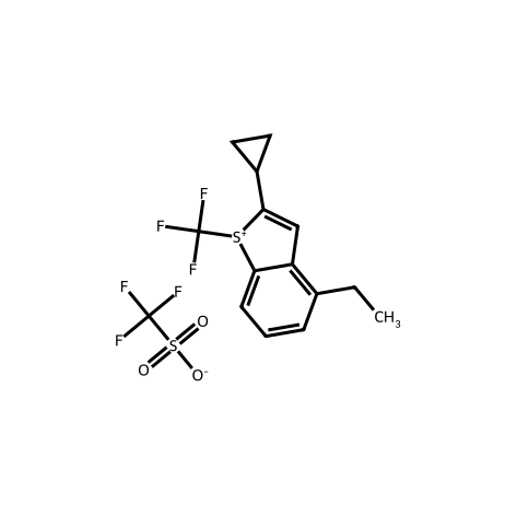 CCc1cccc2c1cc(C1CC1)[s+]2C(F)(F)F.O=S(=O)([O-])C(F)(F)F